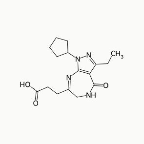 CCc1nn(C2CCCC2)c2c1C(=O)NCC(CCC(=O)O)=N2